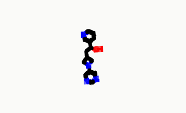 OC(CC1CN(c2cncnc2)C1)c1cccnc1